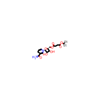 CCC(CC)OC(=O)CCC(=O)OC[C@H]1O[C@@H](N2C=CCC(C(N)=O)=C2)[C@H](O)[C@@H]1O